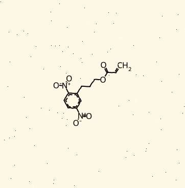 C=CC(=O)OCCCc1cc([N+](=O)[O-])ccc1[N+](=O)[O-]